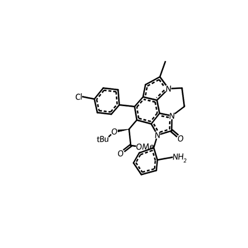 COC(=O)[C@@H](OC(C)(C)C)c1c(-c2ccc(Cl)cc2)c2cc(C)n3c2c2c1n(-c1ccccc1N)c(=O)n2CC3